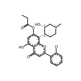 CCC(=O)Oc1cc(O)c2c(=O)cc(-c3ccccc3Cl)oc2c1[C@H]1CCN(C)C[C@H]1O